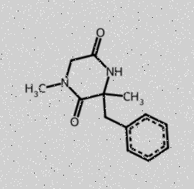 CN1CC(=O)NC(C)(Cc2ccccc2)C1=O